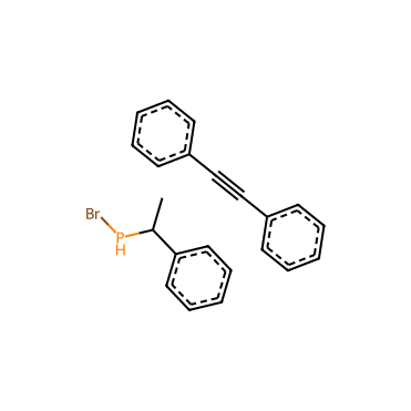 C(#Cc1ccccc1)c1ccccc1.CC(PBr)c1ccccc1